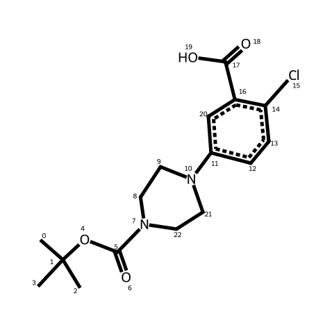 CC(C)(C)OC(=O)N1CCN(c2ccc(Cl)c(C(=O)O)c2)CC1